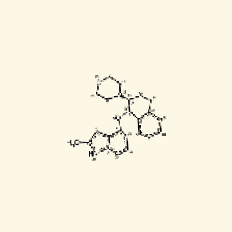 Cc1cc2c(O[C@H]3c4ccccc4CC[C@@H]3N3CCOCC3)cccc2[nH]1